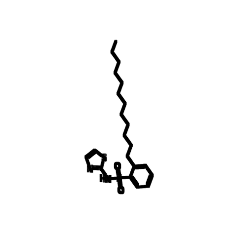 CCCCCCCCCCCCc1ccccc1S(=O)(=O)Nc1nccs1